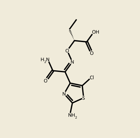 CC[C@@H](O/N=C(\C(N)=O)c1nc(N)sc1Cl)C(=O)O